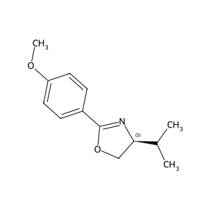 COc1ccc(C2=N[C@@H](C(C)C)CO2)cc1